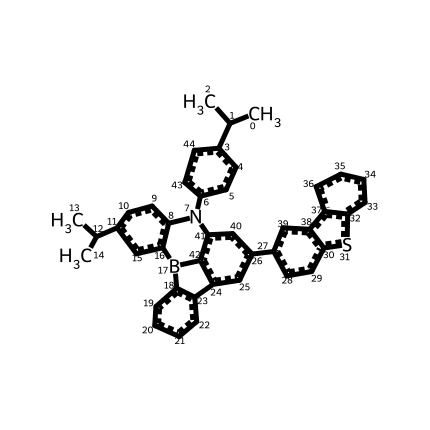 CC(C)c1ccc(N2c3ccc(C(C)C)cc3B3c4ccccc4-c4cc(-c5ccc6sc7ccccc7c6c5)cc2c43)cc1